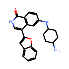 NC1CCC(Nc2ccc3c(=O)[nH]cc(-c4cc5ccccc5o4)c3c2)CC1